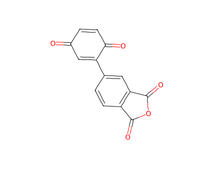 O=C1C=CC(=O)C(c2ccc3c(c2)C(=O)OC3=O)=C1